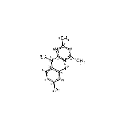 CCN(c1nc(C)cc(C)n1)c1ccc(C(C)C)cc1I